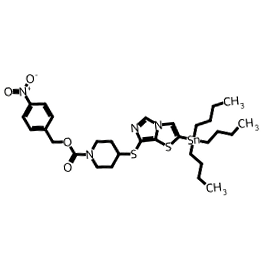 CCC[CH2][Sn]([CH2]CCC)([CH2]CCC)[c]1cn2cnc(SC3CCN(C(=O)OCc4ccc([N+](=O)[O-])cc4)CC3)c2s1